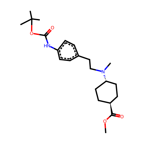 COC(=O)[C@H]1CC[C@H](N(C)CCc2ccc(NC(=O)OC(C)(C)C)cc2)CC1